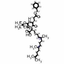 CC(C)=CCC/C(C)=C/CC/C(C)=C/CSC[C@H](NC(=O)[C@H](CCC(=O)OCc1ccccc1)NC(=O)OC(C)(C)C)C(=O)O